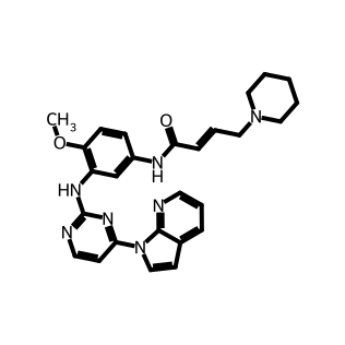 COc1ccc(NC(=O)/C=C/CN2CCCCC2)cc1Nc1nccc(-n2ccc3cccnc32)n1